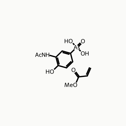 C=CC(=O)OC.CC(=O)Nc1cc([As](=O)(O)O)ccc1O